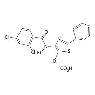 CCN(C(=O)c1ccc(Cl)cc1Cl)c1nc(-c2ccccc2)sc1OC(=O)O